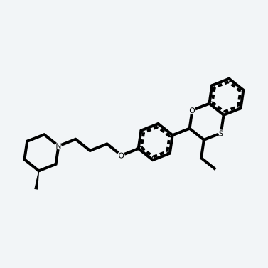 CCC1Sc2ccccc2OC1c1ccc(OCCCN2CCC[C@H](C)C2)cc1